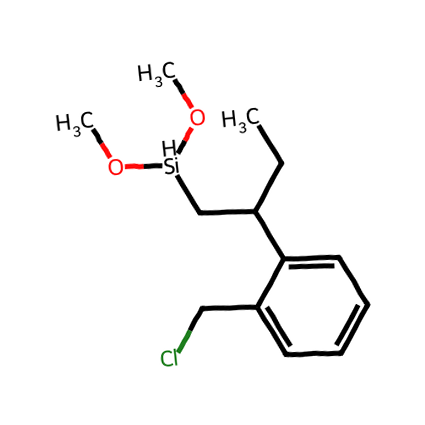 CCC(C[SiH](OC)OC)c1ccccc1CCl